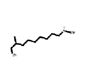 CC(C)CC(C)CCCCCCCNC(C)C